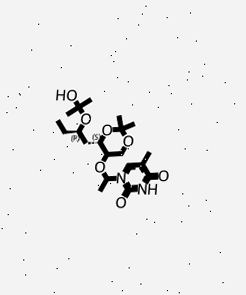 CC[C@H](C[C@@H]1OC(C)(C)OCC1OC(C)n1cc(C)c(=O)[nH]c1=O)OC(C)(C)O